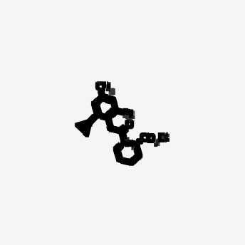 CCOC(=O)N1CCCCN1C(=O)Cc1c(CC)cc(C)cc1C1CC1